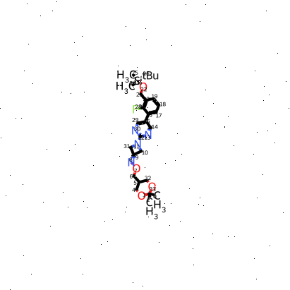 CC1(C)OCC(CON=C2CN(c3ncc(-c4cccc(CO[Si](C)(C)C(C)(C)C)c4F)cn3)C2)CO1